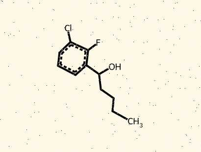 CCCCC(O)c1cccc(Cl)c1F